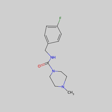 CN1CCN(C(=O)NCc2ccc(F)cc2)CC1